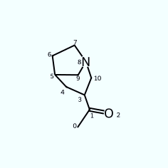 CC(=O)C1CC2CCN(C2)C1